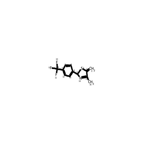 C=C1SC(c2ccc(C(F)(F)F)cc2)N=C1C